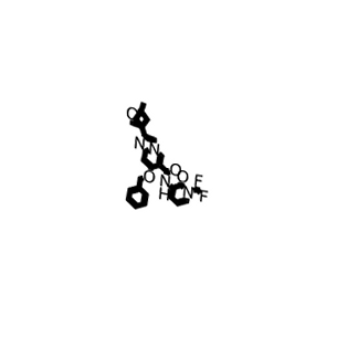 CC12CC(c3cn4cc(C(=O)Nc5cccn(C(F)F)c5=O)c(OCc5ccccc5)cc4n3)(CO1)C2